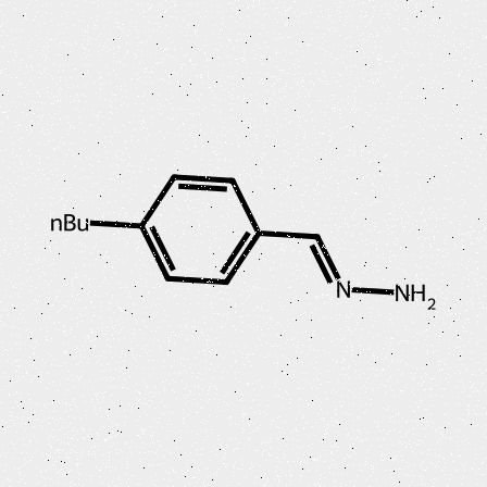 CCCCc1ccc(C=NN)cc1